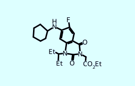 CCOC(=O)Cn1c(=O)c2cc(F)c(NC3CCCCC3)cc2n(C(CC)CC)c1=O